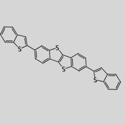 c1ccc2sc(-c3ccc4c(c3)sc3c5ccc(-c6cc7ccccc7s6)cc5sc43)cc2c1